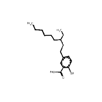 CCCCCCC(CC)CCc1ccc(O)c(C(=O)O)c1